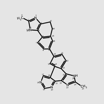 Cc1nc2c([nH]1)-c1ccc(-c3ccc4c(c3)c3cncnc3c3nc(C)[nH]c43)cc1CC2